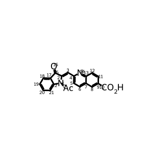 CC(=O)N1/C(=C\c2ccc3cc(C(=O)O)ccc3n2)C(=O)c2ccccc21